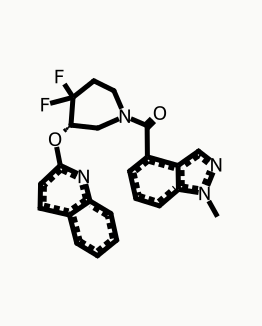 Cn1ncc2c(C(=O)N3CCC(F)(F)[C@@H](Oc4ccc5ccccc5n4)C3)cccc21